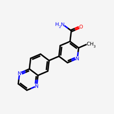 Cc1ncc(-c2ccc3nccnc3c2)cc1C(N)=O